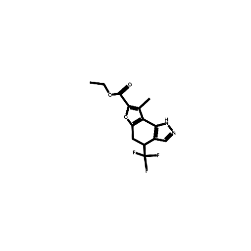 CCOC(=O)c1oc2c(c1C)-c1[nH]ncc1C(C(F)(F)F)C2